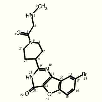 CNCC(=O)N1CCC(c2nc3c(oc4ccc(Br)cc43)c(=O)[nH]2)CC1